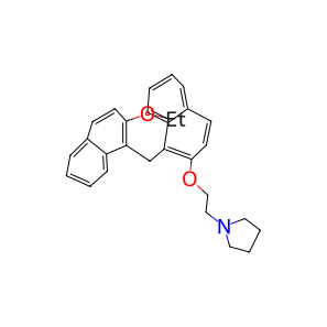 CCOc1ccc2ccccc2c1Cc1c(OCCN2CCCC2)ccc2ccccc12